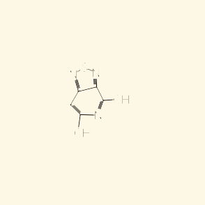 Cc1cc2nsnc2c(C)n1